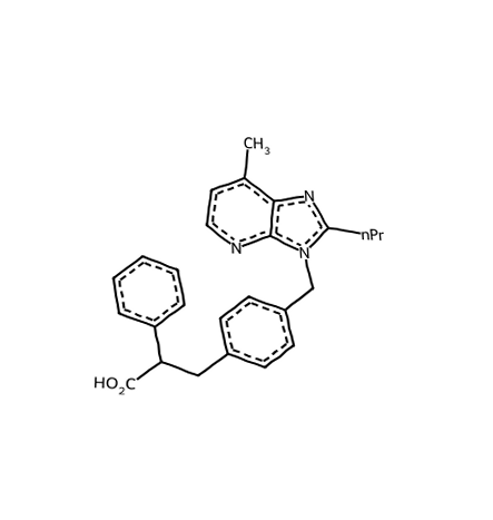 CCCc1nc2c(C)ccnc2n1Cc1ccc(CC(C(=O)O)c2ccccc2)cc1